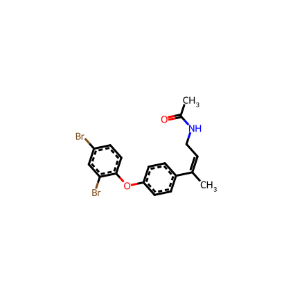 CC(=O)NC/C=C(/C)c1ccc(Oc2ccc(Br)cc2Br)cc1